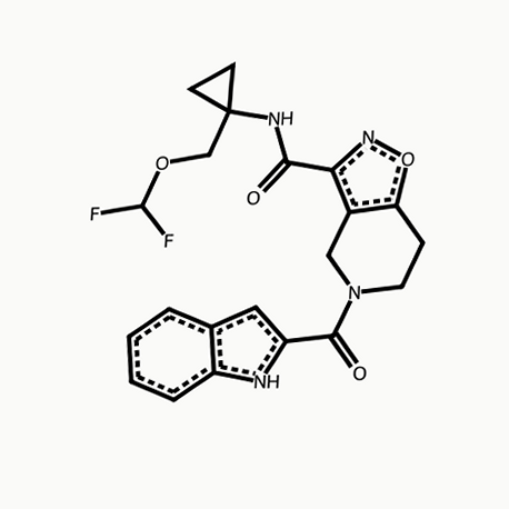 O=C(NC1(COC(F)F)CC1)c1noc2c1CN(C(=O)c1cc3ccccc3[nH]1)CC2